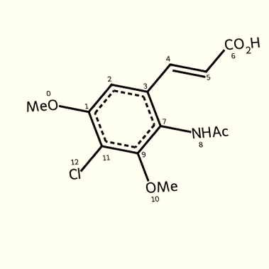 COc1cc(/C=C/C(=O)O)c(NC(C)=O)c(OC)c1Cl